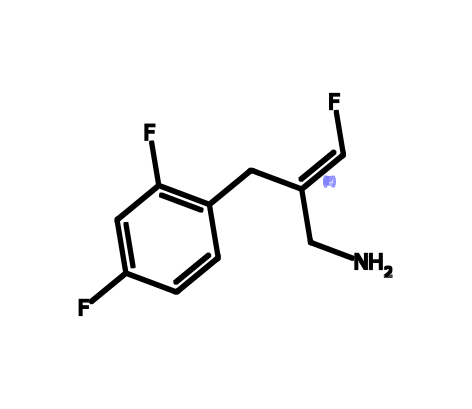 NC/C(=C/F)Cc1ccc(F)cc1F